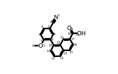 COc1ccc(C#N)cc1-c1cccc2ccc(C(=O)O)cc12